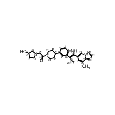 Cc1cc(-c2[nH]c3ccc(C4CCN(C(=O)CN5CCC(O)C5)CC4)cc3c2C(C)C)cn2ncnc12